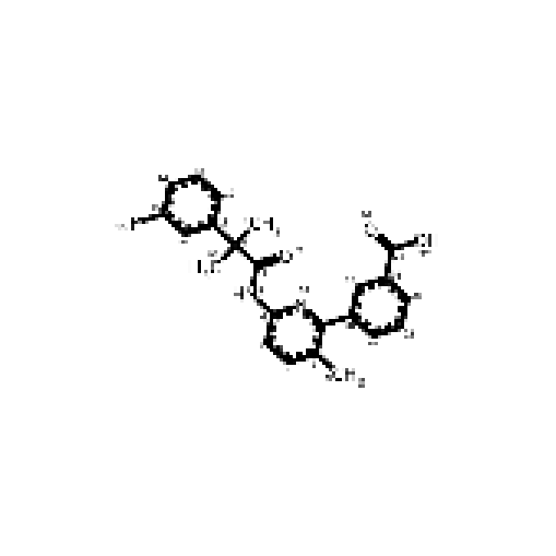 Cc1ccc(NC(=O)C(C)(C)c2cccc(F)c2)nc1-c1cccc(C(=O)O)c1